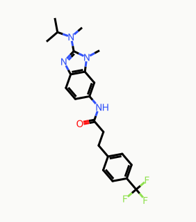 CC(C)N(C)c1nc2ccc(NC(=O)CCc3ccc(C(F)(F)F)cc3)cc2n1C